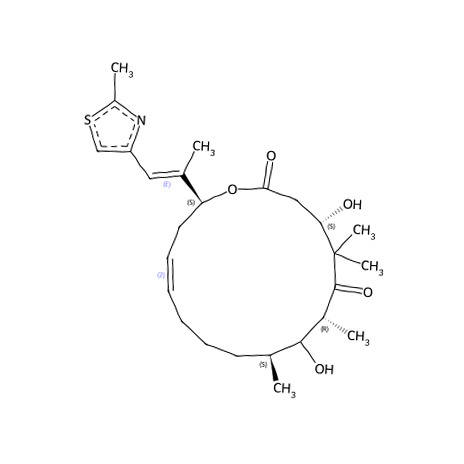 C/C(=C\c1csc(C)n1)[C@@H]1C/C=C\CCC[C@H](C)C(O)[C@@H](C)C(=O)C(C)(C)[C@@H](O)CC(=O)O1